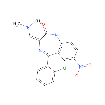 CN(C)C=C1N=C(c2ccccc2Cl)c2cc([N+](=O)[O-])ccc2NC1=O